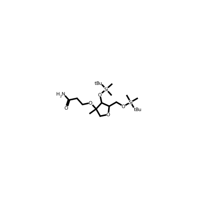 CC1(OCCC(N)=O)COC(CO[Si](C)(C)C(C)(C)C)C1O[Si](C)(C)C(C)(C)C